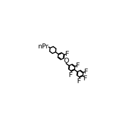 CCCC1CCC(c2ccc(OCc3cc(F)c(-c4cc(F)c(F)c(F)c4)c(F)c3)c(F)c2)CC1